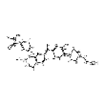 CCN1OCc2cnc(Nc3ccc(N4CCN(CCO)CC4)c(C)c3)nc2N1c1cccc(C(=O)N(C)C)c1